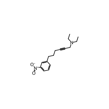 CCN(CC)CC#CCCCc1cccc([N+](=O)[O-])c1